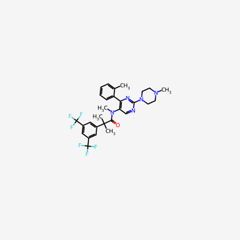 Cc1ccccc1-c1nc(N2CCN(C)CC2)ncc1N(C)C(=O)C(C)(C)c1cc(C(F)(F)F)cc(C(F)(F)F)c1